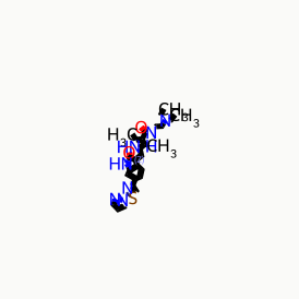 CCN(CC)CCNC(=O)c1c(C)[nH]c(/C=C2\C(=O)Nc3cc(-c4csc(-n5cccn5)n4)ccc32)c1C